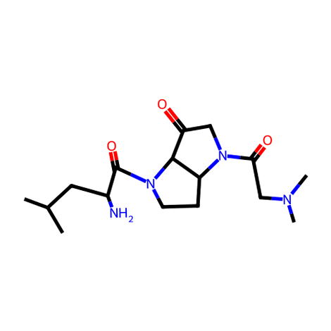 CC(C)CC(N)C(=O)N1CCC2C1C(=O)CN2C(=O)CN(C)C